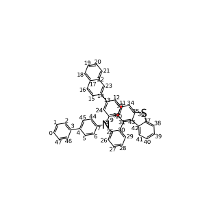 c1ccc(-c2ccc(N(c3cccc(-c4ccc5ccccc5c4)c3)c3ccccc3-c3cccc4sc5ccccc5c34)cc2)cc1